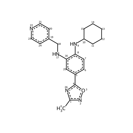 Cc1noc(-c2ccc(NC3CCCCC3)c(NCc3ccncc3)c2)n1